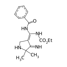 CCOC(=O)N/C(NC(=O)c1ccccc1)=C1/CNC(C)(C)C1=N